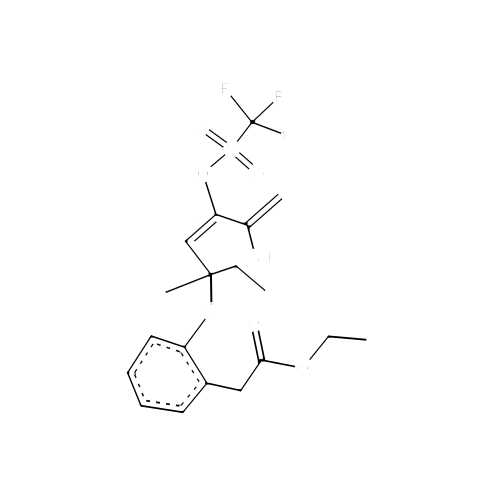 C=C(S)/C(=C\C(C)(CC)Oc1ccccc1CC(=O)OCC)OS(=O)(=O)C(F)(F)F